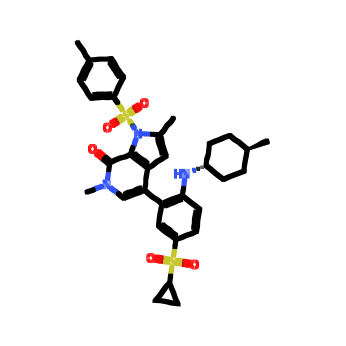 Cc1ccc(S(=O)(=O)n2c(C)cc3c(-c4cc(S(=O)(=O)C5CC5)ccc4N[C@H]4CC[C@H](C)CC4)cn(C)c(=O)c32)cc1